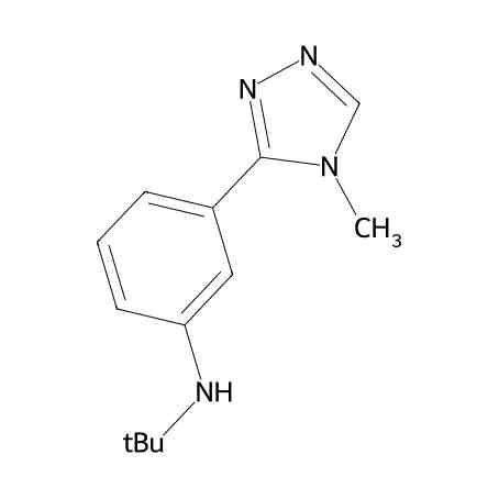 Cn1cnnc1-c1cccc(NC(C)(C)C)c1